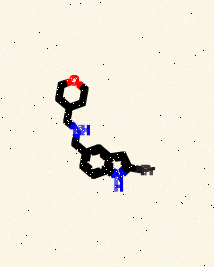 CC(C)c1cc2cc(CNCC3CCOCC3)ccc2[nH]1